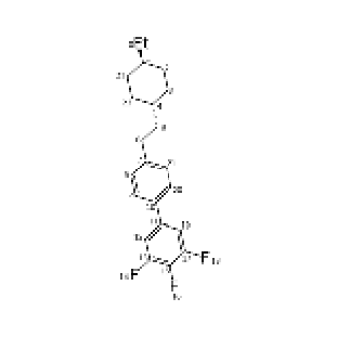 CC[C@H]1CC[C@H](CCc2ccc(-c3cc(F)c(F)c(F)c3)cc2)CC1